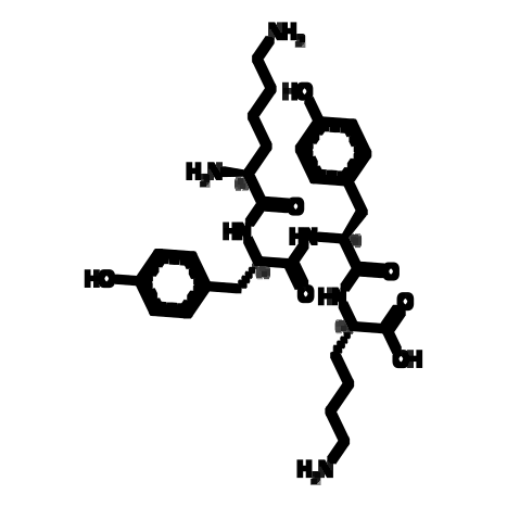 NCCCC[C@H](NC(=O)[C@H](Cc1ccc(O)cc1)NC(=O)[C@H](Cc1ccc(O)cc1)NC(=O)[C@@H](N)CCCCN)C(=O)O